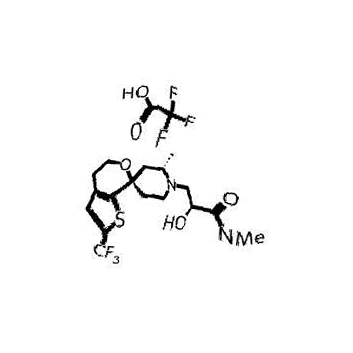 CNC(=O)[C@@H](O)CN1CC[C@]2(C[C@@H]1C)OCCc1cc(C(F)(F)F)sc12.O=C(O)C(F)(F)F